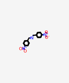 O=[N+]([O-])c1ccc(C[N]Cc2ccc([N+](=O)[O-])cc2)cc1